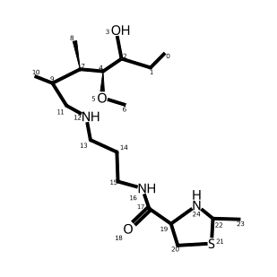 CCC(O)[C@@H](OC)[C@H](C)C(C)CNCCCNC(=O)C1CSC(C)N1